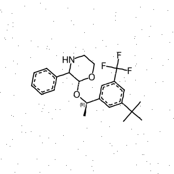 C[C@@H](OC1OCCNC1c1ccccc1)c1cc(C(C)(C)C)cc(C(F)(F)F)c1